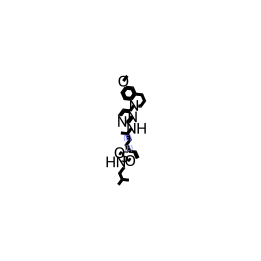 C=C/C(=C\C=C(/C)Nc1nccc(N2CCCc3cc(OC)ccc32)n1)S(=O)(=O)NCCC(C)C